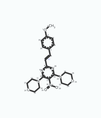 COc1ccc(/C=C/c2nc(N3CCOCC3)c([N+](=O)[O-])c(N3CCOCC3)n2)cc1